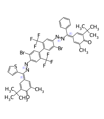 CC1=C/C(=C(\N=N\c2cc(C(F)(F)F)c(-c3cc(Br)c(/N=N/C(=C4\C=C(C)C(=O)C(C(C)(C)C)=C4)c4cccs4)cc3C(F)(F)F)cc2Br)c2ccccc2)C=C(C(C)(C)C)C1=O